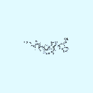 CCCN1C[C@H]2C[C@@H]1CN2c1sc(-c2n[nH]c(-c3cc(OC)c4ncnn4c3)c2CC(F)(F)F)nc1C